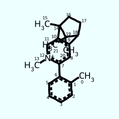 Cc1ccccc1-c1cc2c(c[n+]1C)C1(C)CCC2C1(C)C